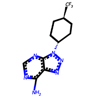 Nc1ncnc2c1nnn2[C@H]1CC[C@H](C(F)(F)F)CC1